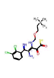 C[Si](C)(C)CCOCN/C(C(=O)C(=O)S)=C(/N)C(=N)c1cccc(Cl)c1Cl